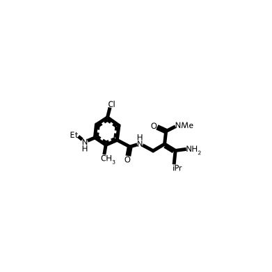 CCNc1cc(Cl)cc(C(=O)NC/C(C(=O)NC)=C(/N)C(C)C)c1C